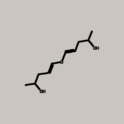 CC(O)CC=COC=CCC(C)O